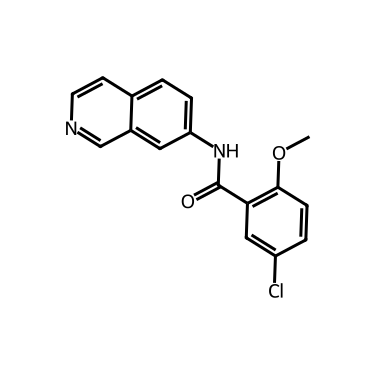 COc1ccc(Cl)cc1C(=O)Nc1ccc2ccncc2c1